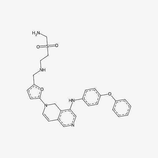 NCS(=O)(=O)CCNCc1ccc(N2C=Cc3cncc(Nc4ccc(Oc5ccccc5)cc4)c3C2)o1